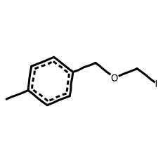 Cc1ccc(COCI)cc1